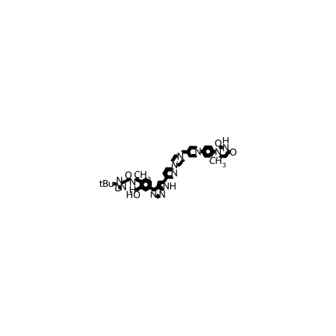 Cc1cc(N2CCC(CN3CCN(c4ccc(-c5cc6c(-c7ccc([C@@H](C)NC(=O)c8noc(C(C)(C)C)n8)c(CO)c7)ncnc6[nH]5)cn4)CC3)CC2)ccc1N1CCC(=O)NC1=O